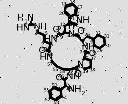 N=C(N)NCCCC1NC(=O)C(Cc2c[nH]c3ccccc23)NC(=O)[C@@H](CC2CCCCC2)NC(=O)C2CCCN2C(=O)[C@@H](NC(=O)[C@@H](N)c2ccccc2)CCCNC1=O